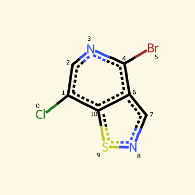 Clc1cnc(Br)c2cnsc12